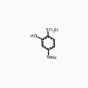 CCOC(=O)c1ccc(NC)cc1O